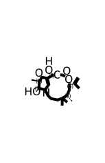 C=C(C)[C@@H]1C[C@H](C)C(C)(C)CCC[C@@H]2C=C(C(=O)[C@H](C)[C@H]2O)[C@@H](O)CC(=O)O1